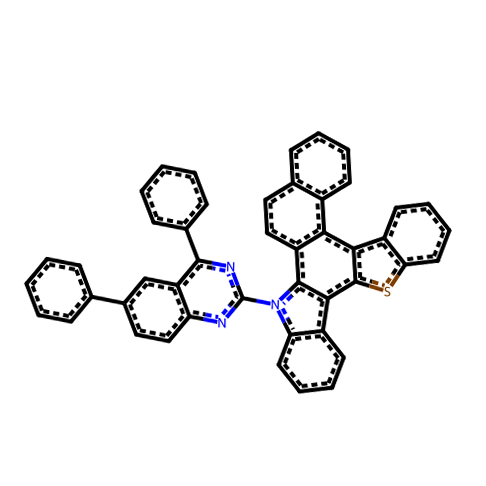 c1ccc(-c2ccc3nc(-n4c5ccccc5c5c6sc7ccccc7c6c6c7ccccc7ccc6c54)nc(-c4ccccc4)c3c2)cc1